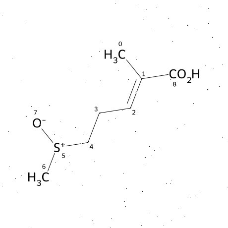 CC(=CCC[S+](C)[O-])C(=O)O